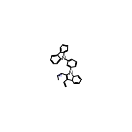 C=CC1=C(/C=C\C)N(c2cccc(-n3c4ccccc4c4ccccc43)c2)C2C=CC=CC12